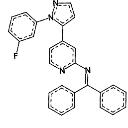 Fc1cccc(-n2nccc2-c2ccnc(N=C(c3ccccc3)c3ccccc3)c2)c1